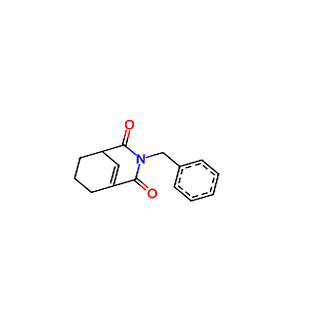 O=C1C2=CC(CCC2)C(=O)N1Cc1ccccc1